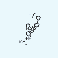 Cc1cccc(-c2ccc(CN(Cc3cccc(NCC(=O)O)n3)S(=O)(=O)c3ccccn3)cc2)c1